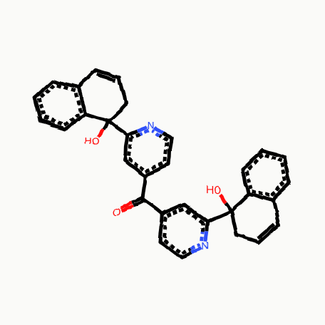 O=C(c1ccnc(C2(O)CC=Cc3ccccc32)c1)c1ccnc(C2(O)CC=Cc3ccccc32)c1